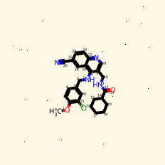 COc1ccc(CNc2c(CNC(=O)C3CCCCC3)cnc3ccc(C#N)cc23)cc1Cl